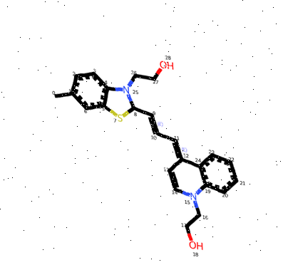 Cc1ccc2c(c1)SC(/C=C/C=C1\C=CN(CCO)c3ccccc31)N2CCO